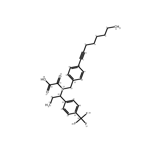 CCCCCCC#Cc1ccc(CN(C(=O)C(=O)O)C(CC)c2ccc(C(F)(F)F)cc2)cc1